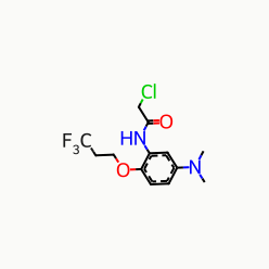 CN(C)c1ccc(OCCC(F)(F)F)c(NC(=O)CCl)c1